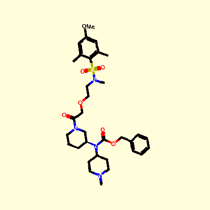 COc1cc(C)c(S(=O)(=O)N(C)CCOCC(=O)N2CCC[C@H](N(C(=O)OCc3ccccc3)C3CCN(C)CC3)C2)c(C)c1